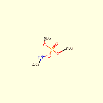 CCCCCCCCNOP(=O)(OCCCC)OCCCC